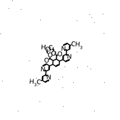 CCOC(=O)C1C(c2ccnc(-c3cc(C)ccn3)c2)C=CC(c2ccnc(-c3cc(C)ccn3)c2)C1C(=O)OCC